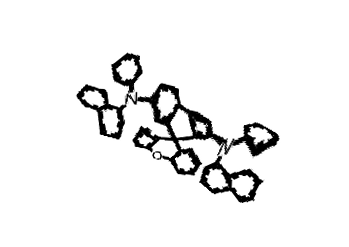 c1ccc(N(c2ccc3c(c2)C2(c4ccccc4Oc4ccccc42)c2cc(N(c4ccccc4)c4cccc5ccccc45)ccc2-3)c2cccc3ccccc23)cc1